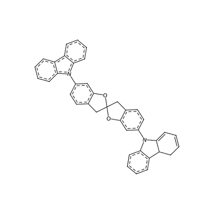 C1=CCC2C(=C1)N(c1ccc3c(c1)OC1(C3)Cc3ccc(-n4c5ccccc5c5ccccc54)cc3O1)c1ccccc12